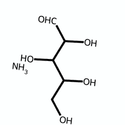 N.O=CC(O)C(O)C(O)CO